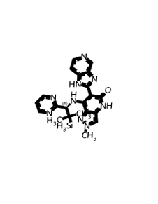 Cn1cc2[nH]c(=O)c(-c3nc4cnccc4[nH]3)c(N[C@H](c3ncccn3)C(C)(C)[SiH3])c2n1